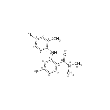 Cc1cc(I)ccc1Nc1cc(F)ccc1C(=O)N(C)C